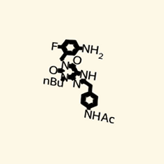 CCCCn1c(=O)n(Cc2cc(N)ccc2F)c(=O)c2[nH]c(Cc3ccc(NC(C)=O)cc3)nc21